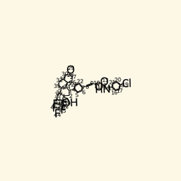 C[C@]12C[C@H](c3ccc(C#CCOC(=O)Nc4ccc(Cl)cc4)cc3)C3=C4CCC(=O)C=C4CCC3C1CC[C@@]2(O)C(F)(F)C(F)(F)F